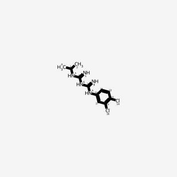 CC(C)NC(=N)NC(=N)Nc1ccc(Cl)c(Cl)c1